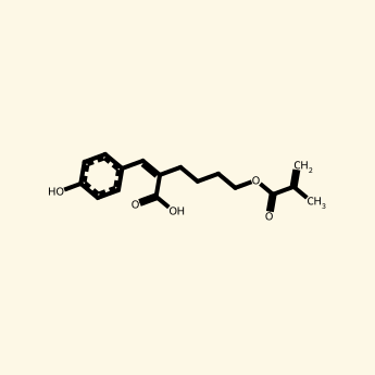 C=C(C)C(=O)OCCCCC(=Cc1ccc(O)cc1)C(=O)O